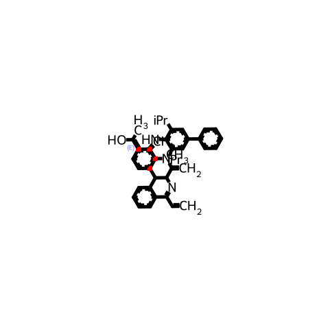 C=CC1=NC(C(=C)N(C)c2ccccc2Nc2c(C(C)C)cc(-c3ccccc3)cc2C(C)C)C(CCC(=C)/C=C(\C)O)c2ccccc21